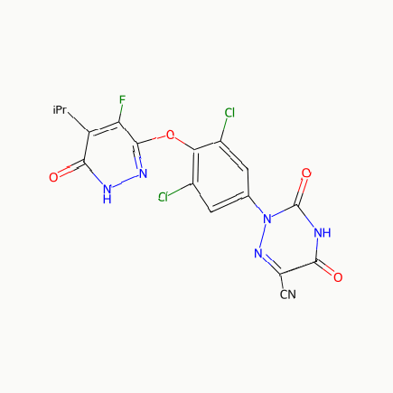 CC(C)c1c(F)c(Oc2c(Cl)cc(-n3nc(C#N)c(=O)[nH]c3=O)cc2Cl)n[nH]c1=O